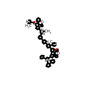 Cc1nc(-c2cccc(-c3ccc(-c4ccc(-c5ccc6c(c5)-c5cc(-c7cc(-c8ccccc8)nc(-c8ccccc8-c8ccccc8)n7)ccc5C65c6ccccc6Oc6ccccc65)c(-c5ccncc5C)c4)cc3)c2)cc(-c2ccc3c(c2)C2(c4ccccc4Oc4ccccc42)c2ccc(-c4ccncc4C)cc2-3)n1